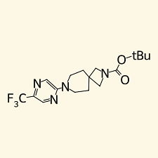 CC(C)(C)OC(=O)N1CC2(CCN(c3cnc(C(F)(F)F)cn3)CC2)C1